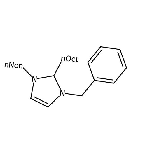 CCCCCCCCCN1C=CN(Cc2ccccc2)C1CCCCCCCC